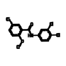 O=C(Nc1ccc(Cl)c(Cl)c1)c1cc(Cl)ccc1OCl